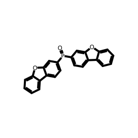 O=[P](c1ccc2c(c1)oc1ccccc12)c1ccc2c(c1)oc1ccccc12